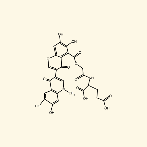 Cn1cc(-c2coc3cc(O)c(O)c(C(=O)OCC(=O)NC(CCC(=O)O)C(=O)O)c3c2=O)c(=O)c2cc(O)c(O)cc21